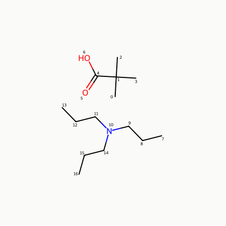 CC(C)(C)C(=O)O.CCCN(CCC)CCC